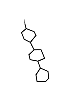 IC1CCC(C2CCC(C3CCCCC3)CC2)CC1